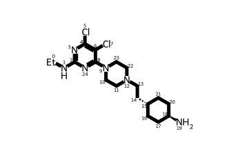 CCNc1nc(Cl)c(Cl)c(N2CCN(CC[C@H]3CC[C@H](N)CC3)CC2)n1